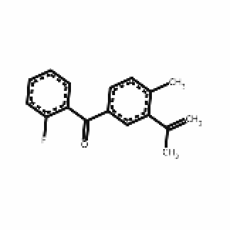 C=C(C)c1cc(C(=O)c2ccccc2F)ccc1C